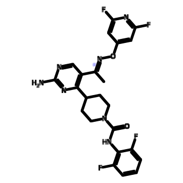 C/C(=N\Oc1cc(F)nc(F)c1)c1cnc(N)nc1C1CCN(C(=O)Nc2c(F)cccc2F)CC1